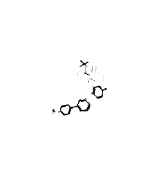 COc1ccc(-c2cccc(Oc3ccc(C)cc3SNC(=O)NC(C)(C)C)c2)cc1